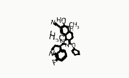 C[C@H]1C(O)C(C#N)=C[C@@]2(C)c3nc(-c4ccnc5c(F)cccc45)nc(OC4CCCC4)c3CC[C@H]12